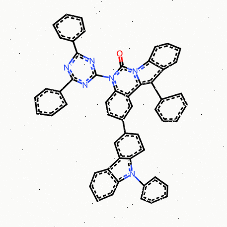 O=c1n(-c2nc(-c3ccccc3)nc(-c3ccccc3)n2)c2ccc(-c3ccc4c(c3)c3ccccc3n4-c3ccccc3)cc2c2c(-c3ccccc3)c3ccccc3n12